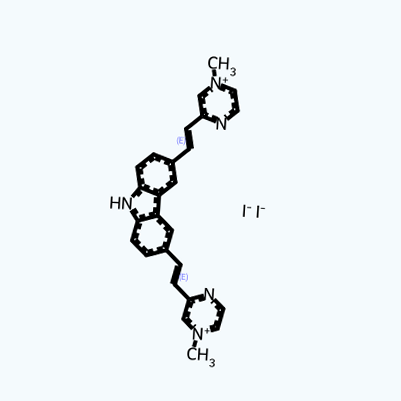 C[n+]1ccnc(/C=C/c2ccc3[nH]c4ccc(/C=C/c5c[n+](C)ccn5)cc4c3c2)c1.[I-].[I-]